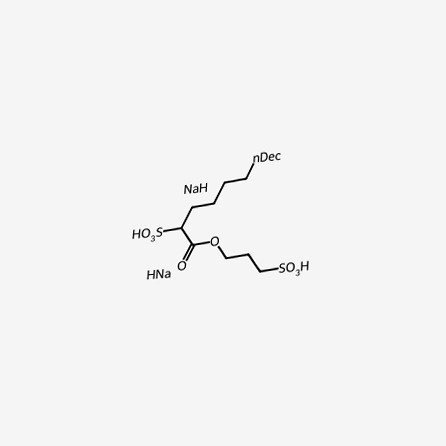 CCCCCCCCCCCCCCC(C(=O)OCCCS(=O)(=O)O)S(=O)(=O)O.[NaH].[NaH]